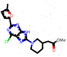 COC(=O)CC1CCCN(c2nc3c(Cl)nc(-c4ccc(C)o4)nc3[nH]2)C1